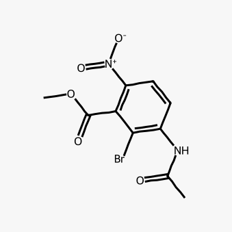 COC(=O)c1c([N+](=O)[O-])ccc(NC(C)=O)c1Br